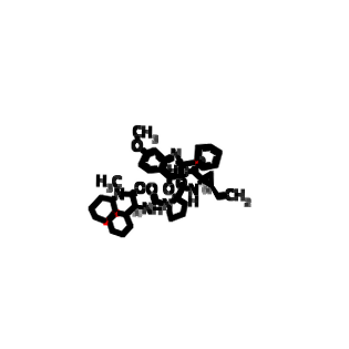 C=C[C@@H]1C[C@]1(NC(=O)[C@@]1(Oc2cc(-c3ccccc3)nc3cc(OC)ccc23)CCCN1C(=O)N[C@H](C(=O)N(C)C1CCCCC1)C1CCCCC1)C(=O)O